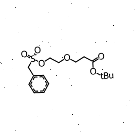 CC(C)(C)OC(=O)CCOCCOS(=O)(=O)Cc1ccccc1